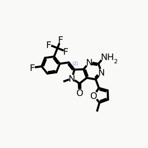 Cc1ccc(-c2nc(N)nc3c2C(=O)N(C)/C3=C\c2ccc(F)cc2C(F)(F)F)o1